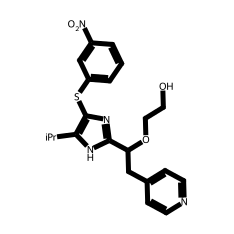 CC(C)c1[nH]c(C(Cc2ccncc2)OCCO)nc1Sc1cccc([N+](=O)[O-])c1